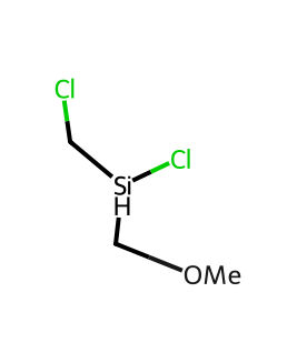 COC[SiH](Cl)CCl